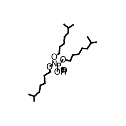 CC(C)CCCCCON(OCCCCCC(C)C)P(=O)(O)OCCCCCC(C)C